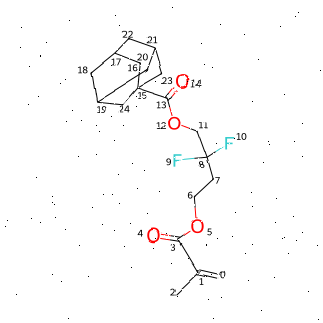 C=C(C)C(=O)OCCC(F)(F)COC(=O)C12CC3CC(CC(C3)C1)C2